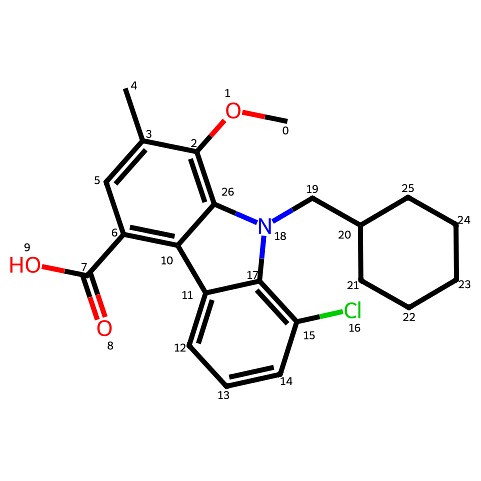 COc1c(C)cc(C(=O)O)c2c3cccc(Cl)c3n(CC3CCCCC3)c12